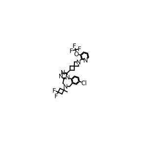 CC1(N2Cc3cc(Cl)ccc3-n3c(nnc3C3CC4(C3)CN(c3ncccc3OC(F)(F)F)C4)C2)CC(F)(F)C1